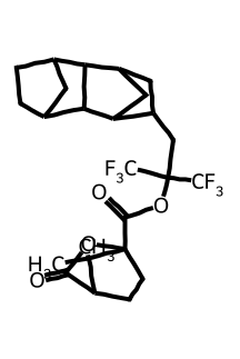 CC1(C)C2CCC1(C(=O)OC(CC1CC3CC1C1C4CCC(C4)C31)(C(F)(F)F)C(F)(F)F)OC2=O